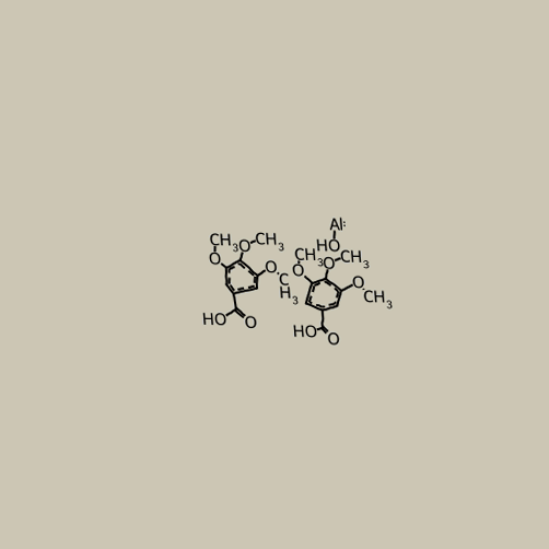 COc1cc(C(=O)O)cc(OC)c1OC.COc1cc(C(=O)O)cc(OC)c1OC.[OH][Al]